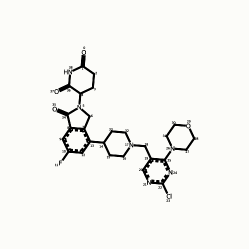 O=C1CCC(N2Cc3c(cc(F)cc3C3CCN(Cc4cnc(Cl)nc4N4CCOCC4)CC3)C2=O)C(=O)N1